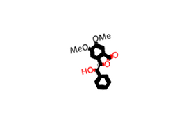 COc1cc2c(cc1OC)[C@H](C(O)c1ccccc1)OC2=O